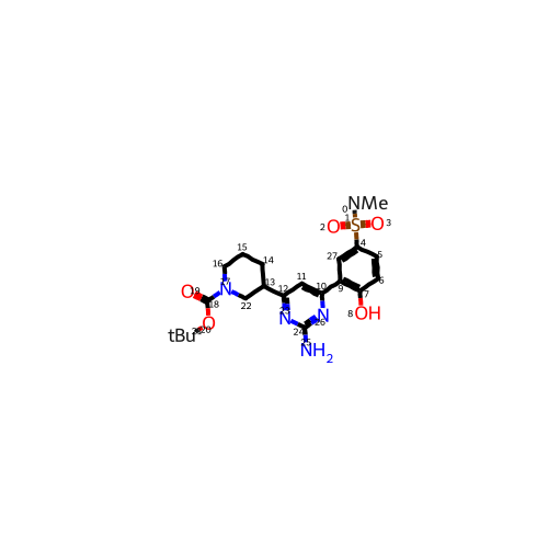 CNS(=O)(=O)c1ccc(O)c(-c2cc(C3CCCN(C(=O)OC(C)(C)C)C3)nc(N)n2)c1